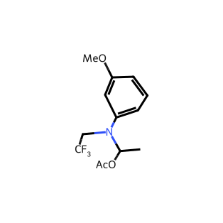 COc1cccc(N(CC(F)(F)F)C(C)OC(C)=O)c1